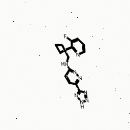 Fc1cccnc1C1(CNc2ccc(-c3nn[nH]n3)nn2)CCC1